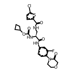 O=C(N[C@@H](CNC(=O)c1ccc(Cl)s1)C(=O)Nc1ccc(N2CCOCC2=O)c(F)c1)OC1CCC1